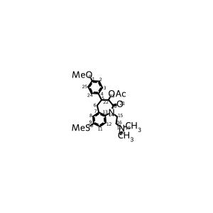 COc1ccc(C2Cc3cc(SC)ccc3N(CCN(C)C)C(=O)C2OC(C)=O)cc1